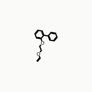 C=COCCOc1ccccc1-c1ccccc1